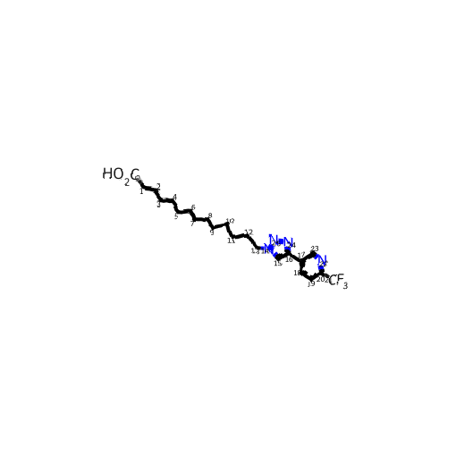 O=C(O)CCCCCCCCCCCCCn1cc(-c2ccc(C(F)(F)F)nc2)nn1